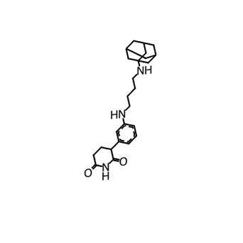 O=C1CCC(c2cccc(NCCCCNC34CC5CC(CC(C5)C3)C4)c2)C(=O)N1